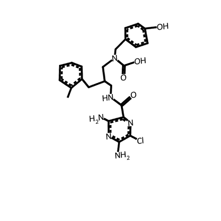 Cc1ccccc1CC(CNC(=O)c1nc(Cl)c(N)nc1N)CN(Cc1ccc(O)cc1)C(=O)O